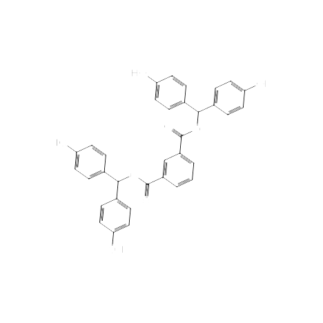 O=C(OC(c1ccc(O)cc1)c1ccc(O)cc1)c1cccc(C(=O)OC(c2ccc(O)cc2)c2ccc(O)cc2)c1